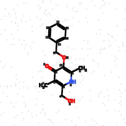 Cc1[nH]c(CO)c(C)c(=O)c1OCc1ccccc1